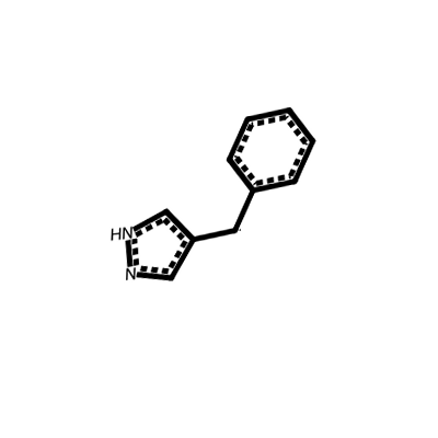 [CH](c1ccccc1)c1cn[nH]c1